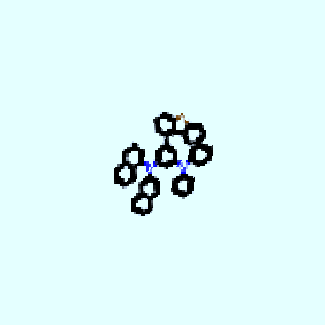 c1ccc(N(c2ccccc2)c2cc(-c3cccc4sc5ccccc5c34)cc(N(c3ccc4ccccc4c3)c3cccc4ccccc34)c2)cc1